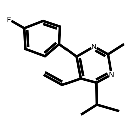 C=Cc1c(-c2ccc(F)cc2)nc(C)nc1C(C)C